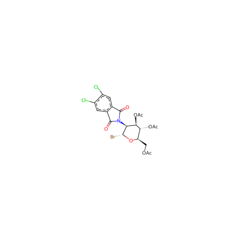 CC(=O)OC[C@H]1O[C@H](Br)[C@@H](N2C(=O)c3cc(Cl)c(Cl)cc3C2=O)[C@@H](OC(C)=O)[C@@H]1OC(C)=O